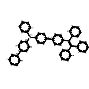 c1ccc(C(=C(c2ccccc2)c2ccc(-c3ccc(N(c4ccccc4)c4ccc(-c5ccccc5)cc4)cc3)cc2)c2ccccc2)cc1